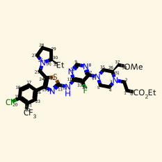 CCOC(=O)CCN1CCN(c2ncnc(Nc3nc(-c4ccc(Cl)c(C(F)(F)F)c4)c(CN4CCC[C@H]4CC)s3)c2F)C[C@H]1COC